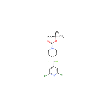 CC(C)(C)OC(=O)N1CCC(C(F)(F)c2cc(Cl)nc(Cl)c2)CC1